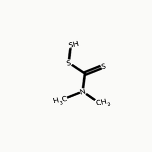 CN(C)C(=S)SS